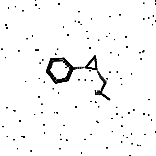 CNC[C@H]1C[C@H]1c1ccccc1